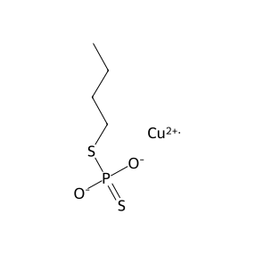 CCCCSP([O-])([O-])=S.[Cu+2]